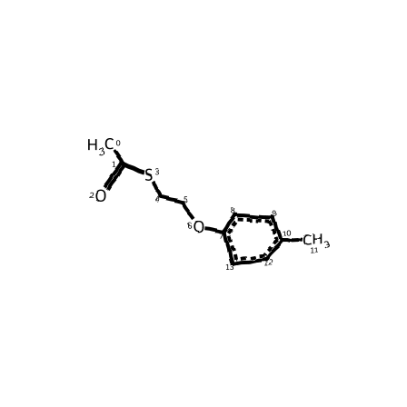 CC(=O)SCCOc1ccc(C)cc1